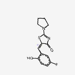 O=C1N=C(N2CCCC2)S/C1=C/c1cc(F)ccc1O